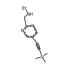 CCNCc1ccc(C#C[Si](C)(C)C)cn1